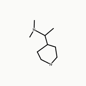 CC(C1CC[N]CC1)N(C)C